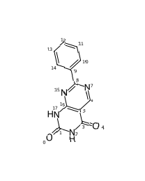 O=c1[nH]c(=O)c2cnc(-c3ccccc3)nc2[nH]1